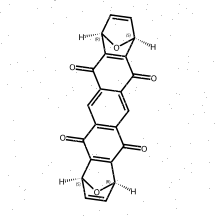 O=c1c2c(c(=O)c3cc4c(=O)c5c(c(=O)c4cc13)[C@H]1C=C[C@@H]5O1)[C@H]1C=C[C@@H]2O1